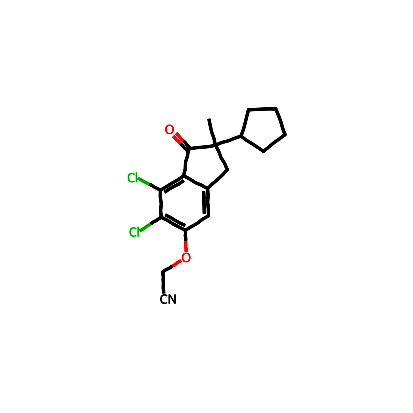 CC1(C2CCCC2)Cc2cc(OCC#N)c(Cl)c(Cl)c2C1=O